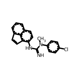 CN(C(=N)Nc1ccc2cccc3c2c1C=C3)c1ccc(Cl)cc1